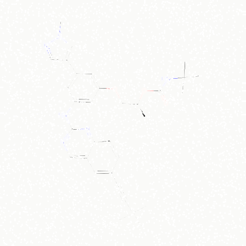 C[C@@H](COc1cc(Nc2ncc3cc(C#C[Si](C)(C)C)ccc3n2)cc(-c2cnn(C)c2)c1)OC(=O)NC(C)(C)C